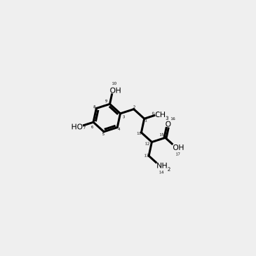 CC(Cc1ccc(O)cc1O)CC(CN)C(=O)O